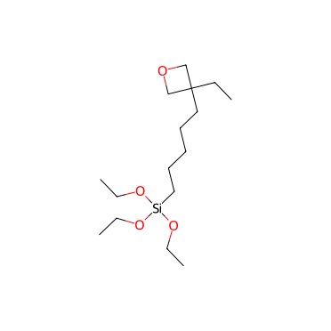 CCO[Si](CCCCCC1(CC)COC1)(OCC)OCC